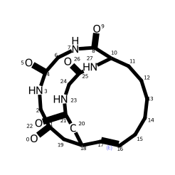 O=C1CNC(=O)CNC(=O)C2CCCCC/C=C/C(C1)CC(=O)NCC(=O)N2